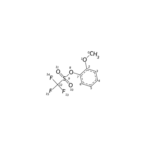 COc1ccccc1OS(=O)(=O)C(F)(F)F